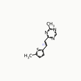 Cc1ncnc(/C=C/c2ccc(C)s2)n1